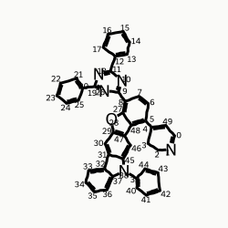 C1=NCCC(c2ccc(-c3nc(-c4ccccc4)nc(-c4ccccc4)n3)c3oc4cc5c6ccccc6n(-c6ccccc6)c5cc4c23)=C1